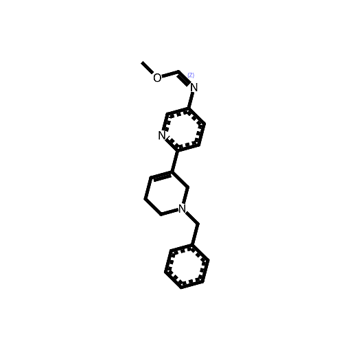 CO/C=N\c1ccc(C2=CCCN(Cc3ccccc3)C2)nc1